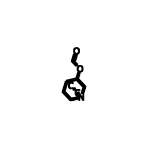 O=COC1CN2CCC1CC2